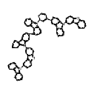 C1=CC(c2ccc3c(c2)c2ccccc2n3-c2ccc3oc4ccccc4c3c2)=CC(n2c3ccccc3c3c(-c4ccc5c6ccccc6n(-c6ccc7oc8ccc(-n9c%10ccccc%10c%10ccccc%109)cc8c7c6)c5c4)cccc32)C1